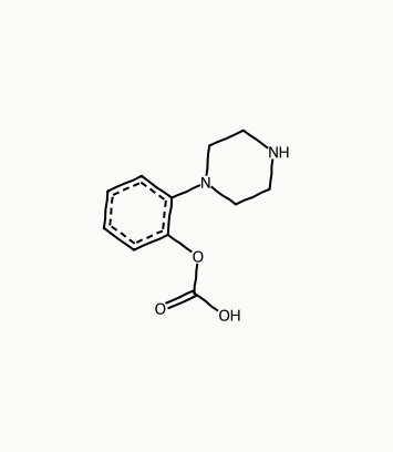 O=C(O)Oc1ccccc1N1CCNCC1